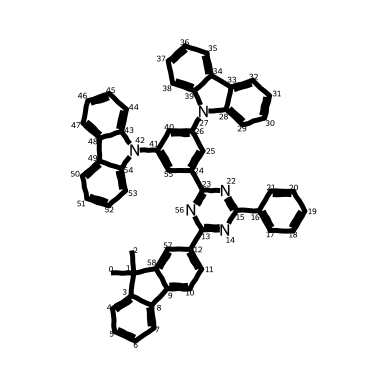 CC1(C)c2ccccc2-c2ccc(-c3nc(-c4ccccc4)nc(-c4cc(-n5c6ccccc6c6ccccc65)cc(-n5c6ccccc6c6ccccc65)c4)n3)cc21